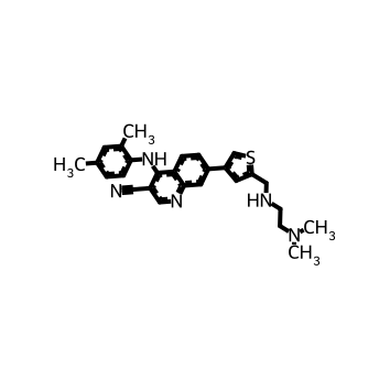 Cc1ccc(Nc2c(C#N)cnc3cc(-c4csc(CNCCN(C)C)c4)ccc23)c(C)c1